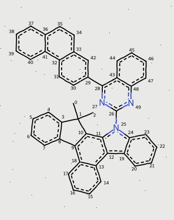 CC1(C)c2ccccc2-c2c1c1c(c3ccccc23)c2ccccc2n1-c1nc(-c2ccc3c(ccc4ccccc43)c2)c2ccccc2n1